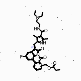 CCC(=O)OCc1cccc2c1c(=O)n1c(=O)/c(=C\c3[nH]c(C)c(C(=O)NCCN(CC)CC)c3C)c3cc(F)cc2c31